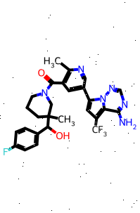 Cc1ncc(-c2cc(C(F)(F)F)c3c(N)ncnn23)cc1C(=O)N1CCCC(C)(C(O)c2ccc(F)cc2)C1